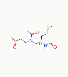 CSCC[C@H](CN(CCC(C)=O)C(C)=O)N(C)C=O